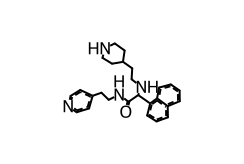 O=C(NCCc1ccncc1)C(NCCC1CCNCC1)c1cccc2ccccc12